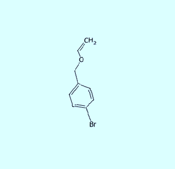 C=COCc1ccc(Br)cc1